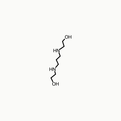 OCCNCCCNCCO